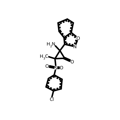 CC1(S(=O)(=O)c2ccc(Cl)cc2)C(=O)C1(N)c1noc2ccccc12